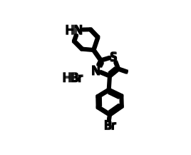 Br.Cc1sc(C2CCNCC2)nc1-c1ccc(Br)cc1